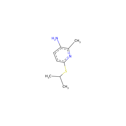 Cc1nc(SC(C)C)ccc1N